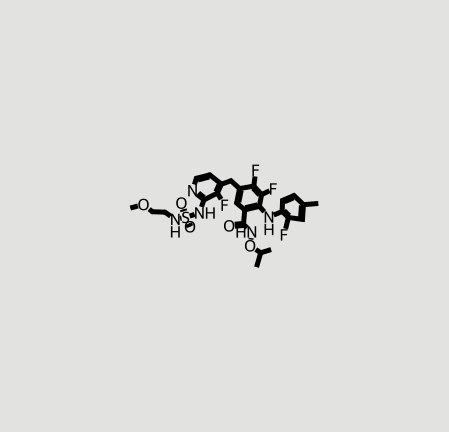 COCCNS(=O)(=O)Nc1nccc(Cc2cc(C(=O)NOC(C)C)c(Nc3ccc(C)cc3F)c(F)c2F)c1F